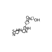 O=C(N1CC=C(c2cc3c(Nc4ccc5ncsc5c4)ccnc3[nH]2)CC1)N1CC[C@@H](O)C1